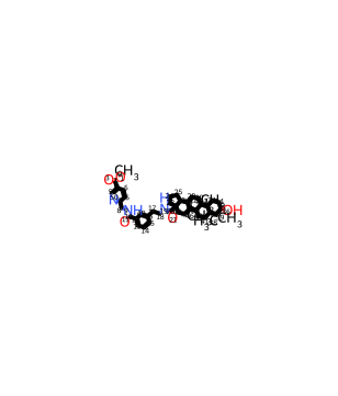 COC(=O)c1ccc(CNC(=O)c2cccc(CCNC(=O)C34CCCC3C3CCC5C6(C)CCC(O)C(C)(C)C6CCC5(C)[C@]3(C)CC4)c2)nc1